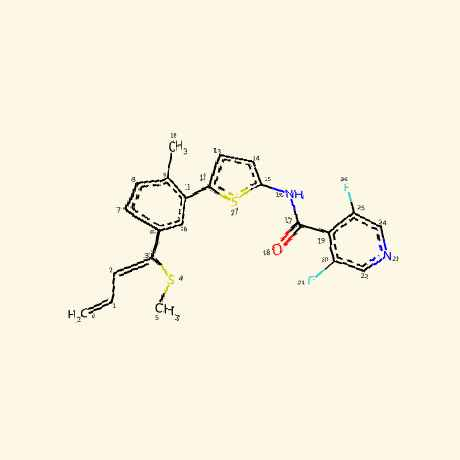 C=C/C=C(\SC)c1ccc(C)c(-c2ccc(NC(=O)c3c(F)cncc3F)s2)c1